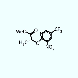 COC(=O)[C@@H](C)Oc1ncc(C(F)(F)F)cc1[N+](=O)[O-]